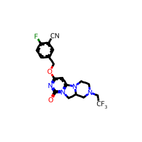 N#Cc1cc(COc2cc3n(c(=O)n2)CC2CN(CC(F)(F)F)CCN32)ccc1F